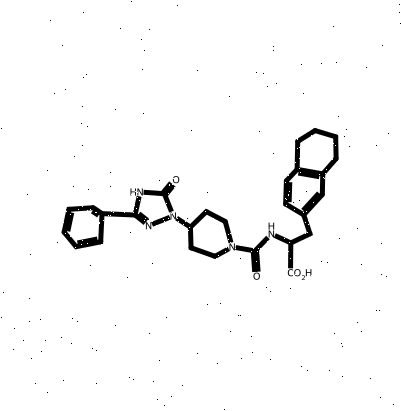 O=C(O)C(Cc1ccc2c(c1)CCCC2)NC(=O)N1CCC(n2nc(-c3ccccc3)[nH]c2=O)CC1